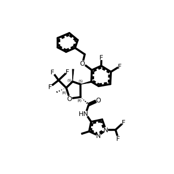 Cc1nn(C(F)F)cc1NC(=O)[C@@H]1O[C@@](C)(C(F)(F)F)[C@@H](C)[C@H]1c1ccc(F)c(F)c1OCc1ccccc1